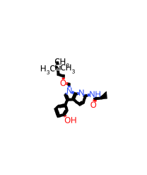 C[Si](C)(C)CCOCn1cc(-c2cccc(O)c2)c2ccc(NC(=O)C3CC3)nc21